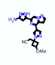 COC1CC(CC#N)(n2cc(-c3nc(-c4cc(N)n[nH]4)cn4nccc34)cn2)C1